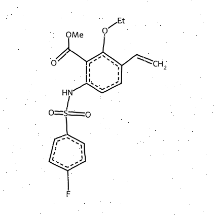 C=Cc1ccc(NS(=O)(=O)c2ccc(F)cc2)c(C(=O)OC)c1OCC